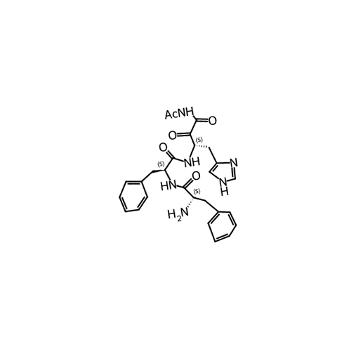 CC(=O)NC(=O)C(=O)[C@H](Cc1c[nH]cn1)NC(=O)[C@H](Cc1ccccc1)NC(=O)[C@@H](N)Cc1ccccc1